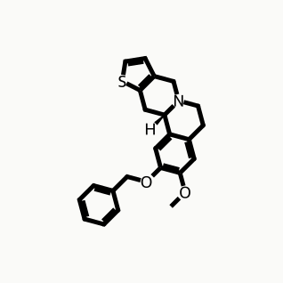 COc1cc2c(cc1OCc1ccccc1)[C@@H]1Cc3sccc3CN1CC2